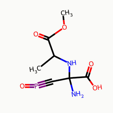 COC(=O)C(C)NC(N)(C#P=O)C(=O)O